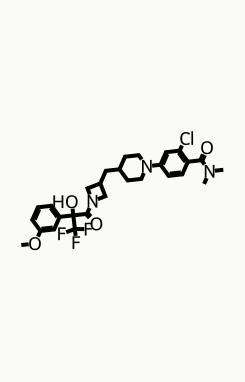 COc1cccc(C(O)(C(=O)N2CC(CC3CCN(c4ccc(C(=O)N(C)C)c(Cl)c4)CC3)C2)C(F)(F)F)c1